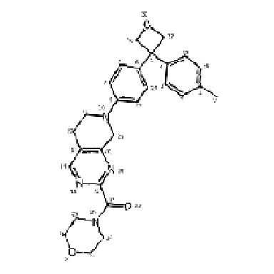 Cc1ccc(C2(c3ccc(N4CCc5cnc(C(=O)N6CCOCC6)nc5C4)cc3)COC2)cc1